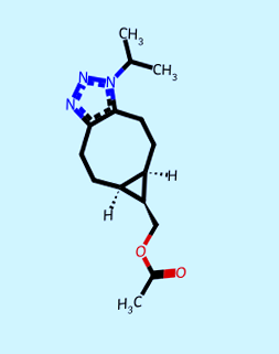 CC(=O)OC[C@@H]1[C@@H]2CCc3c(nnn3C(C)C)CC[C@@H]21